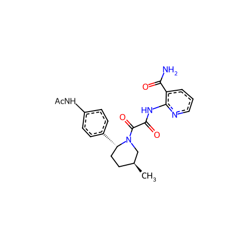 CC(=O)Nc1ccc([C@H]2CC[C@H](C)CN2C(=O)C(=O)Nc2ncccc2C(N)=O)cc1